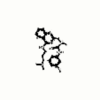 CN(C)CCCNc1nc(CN(C)C(=O)Nc2cccc(Cl)c2)nc2ccccc12